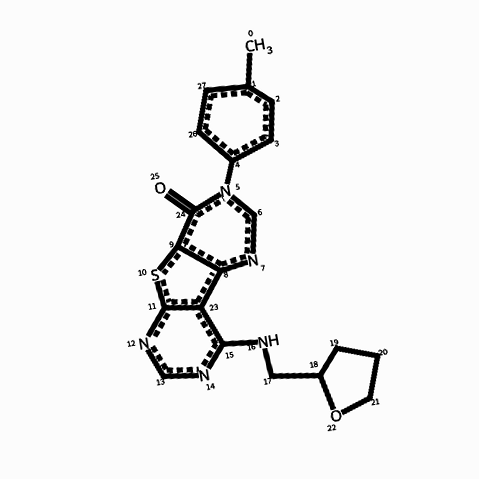 Cc1ccc(-n2cnc3c(sc4ncnc(NCC5CCCO5)c43)c2=O)cc1